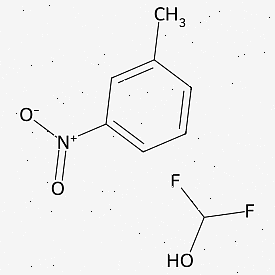 Cc1cccc([N+](=O)[O-])c1.OC(F)F